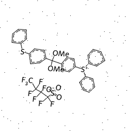 COC(OC)(c1ccc(Sc2ccccc2)cc1)c1ccc([S+](c2ccccc2)c2ccccc2)cc1.O=S(=O)([O-])C(F)(F)C(F)(F)C(F)(F)C(F)(F)F